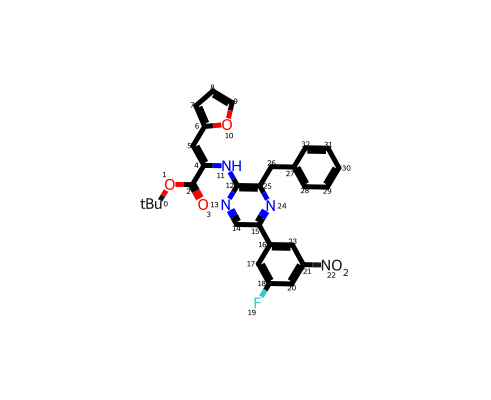 CC(C)(C)OC(=O)/C(=C/c1ccco1)Nc1ncc(-c2cc(F)cc([N+](=O)[O-])c2)nc1Cc1ccccc1